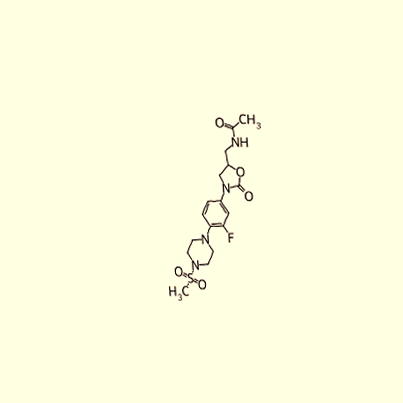 CC(=O)NCC1CN(c2ccc(N3CCN(S(C)(=O)=O)CC3)c(F)c2)C(=O)O1